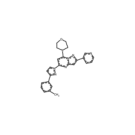 Cc1cccc(-c2ccn(-c3cc(N4CCOCC4)n4nc(-c5cccnc5)cc4n3)n2)c1